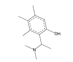 Cc1cc(O)c(C(C)N(C)C)c(C)c1C